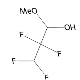 COC(O)C(F)(F)C(F)F